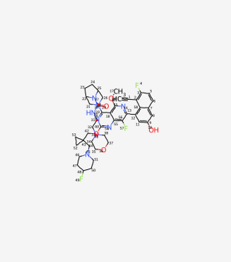 C#Cc1c(F)ccc2cc(O)cc(-c3nc(OC)c4c(N5CC6CCC(C5)N6C(=O)NCCN5CCOCC5)nc(OCC5(CN6CCC(F)CC6)CC5)nc4c3F)c12